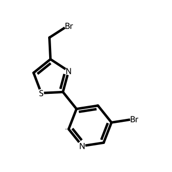 BrCc1csc(-c2[c]ncc(Br)c2)n1